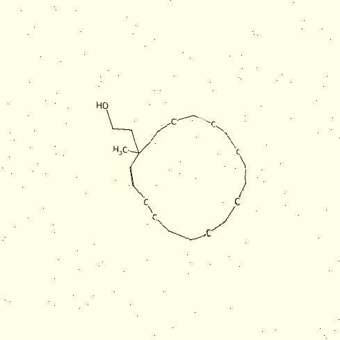 CC1(CCO)CCCCCCCCCCCCCCCCC1